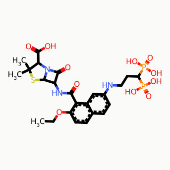 CCOc1ccc2ccc(NCCC(P(=O)(O)O)P(=O)(O)O)cc2c1C(=O)NC1C(=O)N2C1SC(C)(C)C2C(=O)O